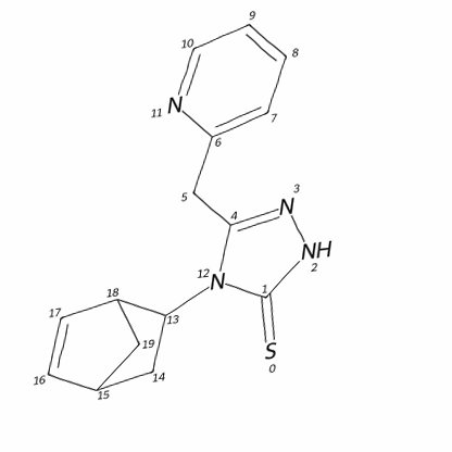 S=c1[nH]nc(Cc2ccccn2)n1C1CC2C=CC1C2